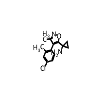 Cc1cc(Cl)ccc1-c1c(C)noc1C1(N)CC1